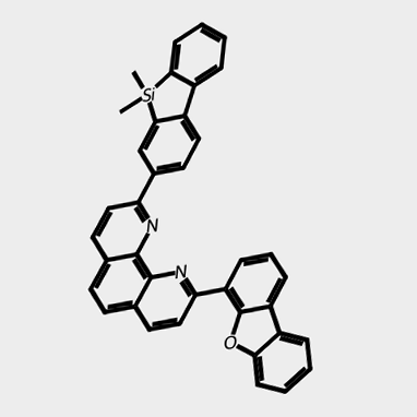 C[Si]1(C)c2ccccc2-c2ccc(-c3ccc4ccc5ccc(-c6cccc7c6oc6ccccc67)nc5c4n3)cc21